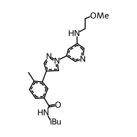 CCC(C)NC(=O)c1ccc(C)c(-c2cnn(-c3cncc(NCCOC)c3)c2)c1